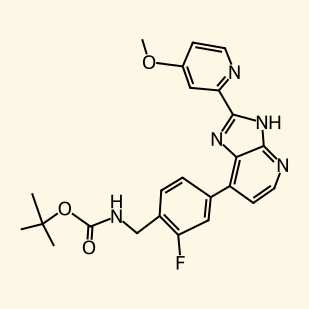 COc1ccnc(-c2nc3c(-c4ccc(CNC(=O)OC(C)(C)C)c(F)c4)ccnc3[nH]2)c1